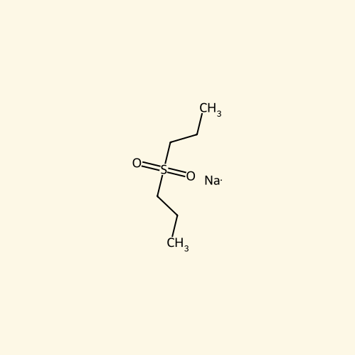 CCCS(=O)(=O)CCC.[Na]